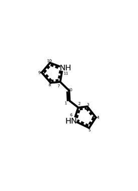 [C](=[C]\c1ccc[nH]1)/c1ccc[nH]1